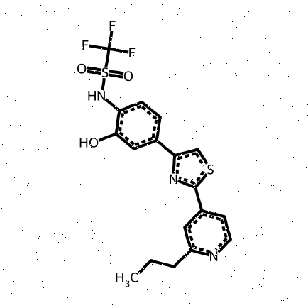 CCCc1cc(-c2nc(-c3ccc(NS(=O)(=O)C(F)(F)F)c(O)c3)cs2)ccn1